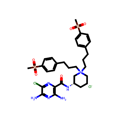 CS(=O)(=O)c1ccc(CCC[N+]2(CCCc3ccc(S(C)(=O)=O)cc3)CCC[C@H](NC(=O)c3nc(Cl)c(N)nc3N)C2)cc1.[Cl-]